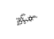 CC(C)C[C@H]1CN(C(=O)/C=C/c2ccc(C(C)(C)C)cc2)[C@@H](CC(C)C)C(=O)N1